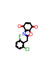 O=C1C=CC(=O)c2oc(Cc3c(F)cccc3Cl)nc21